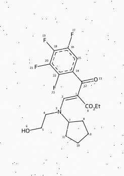 CCOC(=O)C(=CN(CCO)C1CCCC1)C(=O)c1cc(F)c(F)c(F)c1F